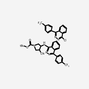 CC(C)(C)OC(=O)N1CC(C#N)C(Nc2nnc(-c3ccc(C(F)(F)F)cc3)c3ccccc23)C1.FC(F)(F)c1ccc(-c2nnc(Cl)c3ccccc23)cc1